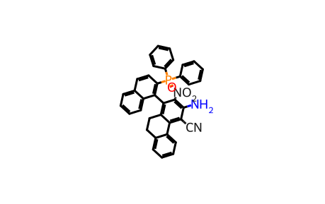 N#Cc1c(N)c([N+](=O)[O-])c(-c2c(P(=O)(c3ccccc3)c3ccccc3)ccc3ccccc23)c2c1-c1ccccc1CC2